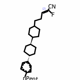 CCCCCc1ccc([C@H]2CC[C@H](C3CCC(CC/C=C(\F)C#N)CC3)CC2)cc1